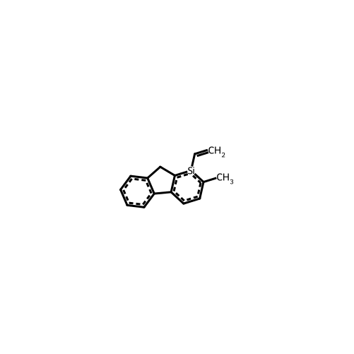 C=C[si]1c(C)ccc2c1Cc1ccccc1-2